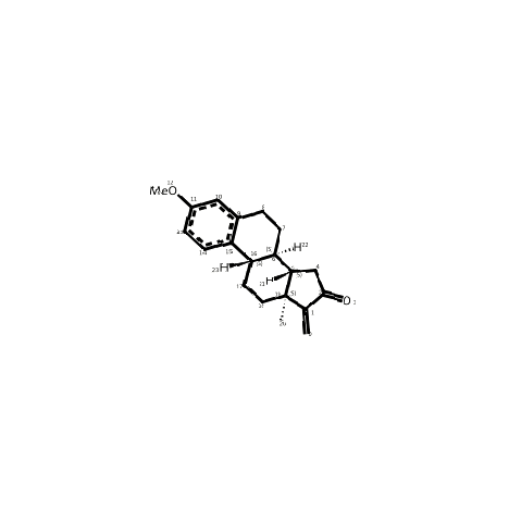 C=C1C(=O)C[C@H]2[C@@H]3CCc4cc(OC)ccc4[C@H]3CC[C@]12C